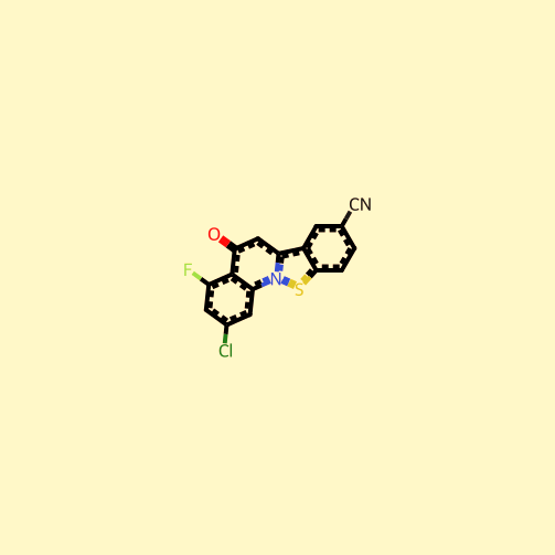 N#Cc1ccc2sn3c4cc(Cl)cc(F)c4c(=O)cc3c2c1